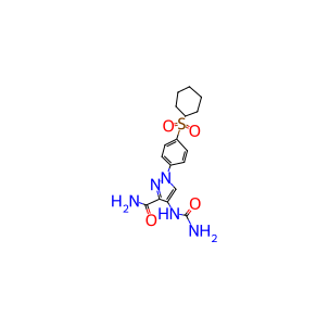 NC(=O)Nc1cn(-c2ccc(S(=O)(=O)C3CCCCC3)cc2)nc1C(N)=O